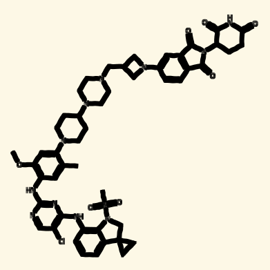 COc1cc(N2CCC(N3CCN(CC4CN(c5ccc6c(c5)C(=O)N(C5CCC(=O)NC5=O)C6=O)C4)CC3)CC2)c(C)cc1Nc1ncc(Cl)c(Nc2cccc3c2N(S(C)(=O)=O)CC32CC2)n1